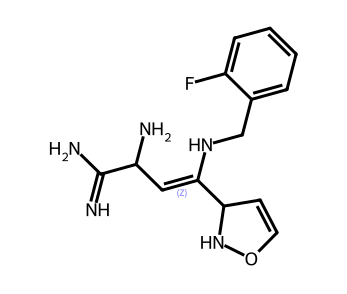 N=C(N)C(N)/C=C(\NCc1ccccc1F)C1C=CON1